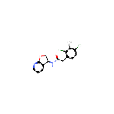 N#Cc1c(Cl)ccc(CC(=O)NC2COc3ncccc32)c1Cl